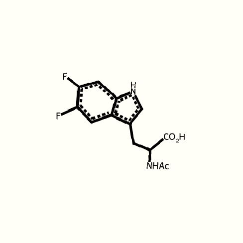 CC(=O)NC(Cc1c[nH]c2cc(F)c(F)cc12)C(=O)O